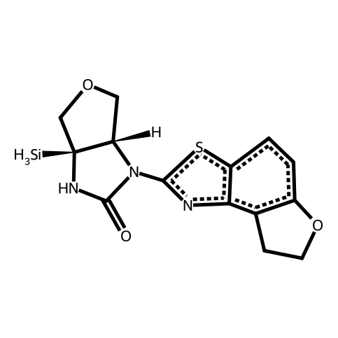 O=C1N[C@]2([SiH3])COC[C@@H]2N1c1nc2c3c(ccc2s1)OCC3